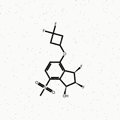 CS(=O)(=O)c1ccc(OC2CC(F)(F)C2)c2c1[C@H](O)[C@H](F)[C@@H]2F